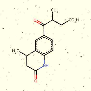 CC(CC(=O)O)C(=O)c1ccc2c(c1)C(C)CC(=O)N2